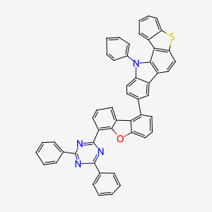 c1ccc(-c2nc(-c3ccccc3)nc(-c3cccc4c3oc3cccc(-c5ccc6c(c5)c5ccc7sc8ccccc8c7c5n6-c5ccccc5)c34)n2)cc1